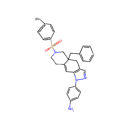 CC(C)(C)c1ccc(S(=O)(=O)N2CCC3=Cc4c(cnn4-c4ccc(N)cc4)CC3(Cc3ccccc3)C2)cc1